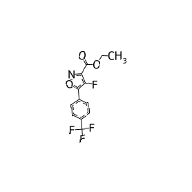 CCOC(=O)c1noc(-c2ccc(C(F)(F)F)cc2)c1F